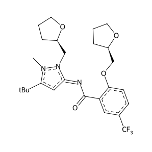 Cn1c(C(C)(C)C)c/c(=N\C(=O)c2cc(C(F)(F)F)ccc2OC[C@H]2CCCO2)n1C[C@H]1CCCO1